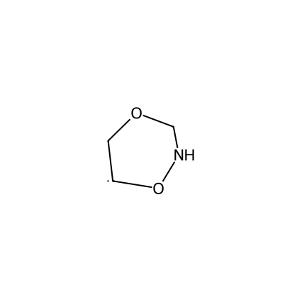 [CH]1COCNO1